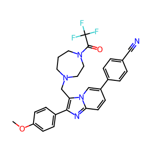 COc1ccc(-c2nc3ccc(-c4ccc(C#N)cc4)cn3c2CN2CCCN(C(=O)C(F)(F)F)CC2)cc1